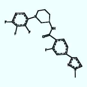 Cn1ccc(-c2ccc(C(=O)NC3CCCN(c4ccc(F)c(F)c4F)C3)c(F)c2)n1